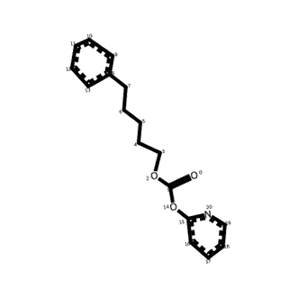 O=C(OCCCCCc1ccccc1)Oc1ccccn1